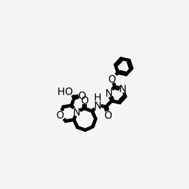 O=C(NC1CCCCC2COCC(C(=O)O)N2C1=O)c1ccnc(Oc2ccccc2)n1